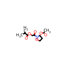 C=C(C)C(=O)OCC(=O)N1OCCC1OC(C)=O